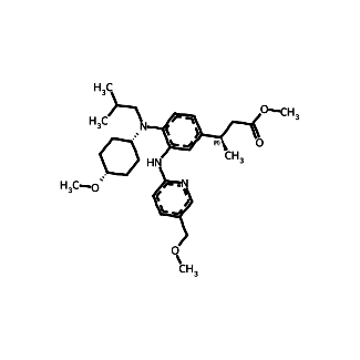 COCc1ccc(Nc2cc([C@H](C)CC(=O)OC)ccc2N(CC(C)C)[C@H]2CC[C@@H](OC)CC2)nc1